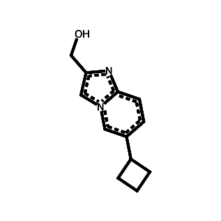 OCc1cn2cc(C3CCC3)ccc2n1